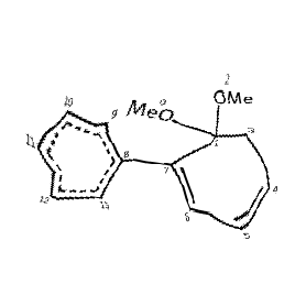 COC1(OC)CC=CC=C1c1ccccc1